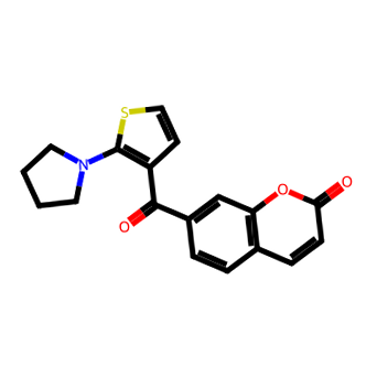 O=C(c1ccc2ccc(=O)oc2c1)c1ccsc1N1CCCC1